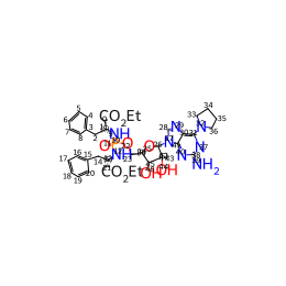 CCOC(=O)[C@H](Cc1ccccc1)NP(=O)(N[C@@H](Cc1ccccc1)C(=O)OCC)OC[C@H]1OC(n2cnc3c(N4CCCC4)nc(N)nc32)[C@@](C)(O)C1O